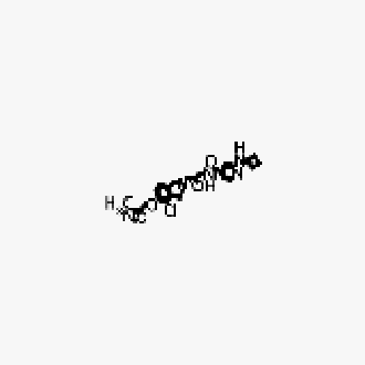 Cc1ncoc1COc1ccc2c(c1Cl)CCN(C[C@@H](O)CNC(=O)c1ccnc(NC3CCC3)c1)C2